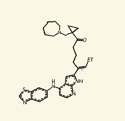 CC/C=C(\CCCC(=O)C1(CN2CCCCCC2)CC1)c1cc2c(Nc3ccc4ncsc4c3)ccnc2[nH]1